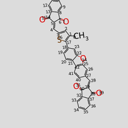 Cc1cc(C=C2C(=O)c3ccccc3C2=O)sc1-c1ccc2c(c1)oc1cc(C=C3C(=O)c4ccccc4C3=O)ccc12